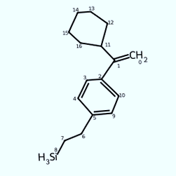 C=C(c1ccc(CC[SiH3])cc1)C1CCCCC1